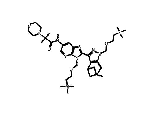 CN(C(=O)C(C)(C)N1CCOCC1)c1cnc2c(c1)nc(-c1nn(COCC[Si](C)(C)C)c3c1C1CC(C)(C3)C1)n2COCC[Si](C)(C)C